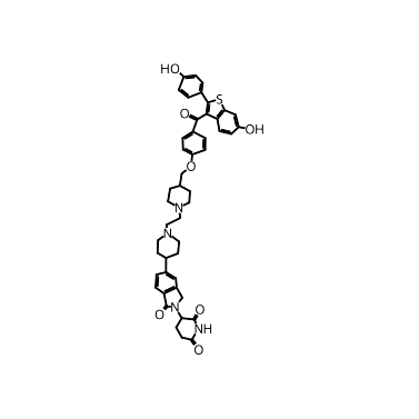 O=C1CCC(N2Cc3cc(C4CCN(CCN5CCC(COc6ccc(C(=O)c7c(-c8ccc(O)cc8)sc8cc(O)ccc78)cc6)CC5)CC4)ccc3C2=O)C(=O)N1